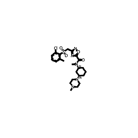 Cc1cccc(Cl)c1S(=O)(=O)Cc1noc(C(=O)N(C)[C@H]2CCC[C@@H](N3CCN(C)CC3)C2)n1